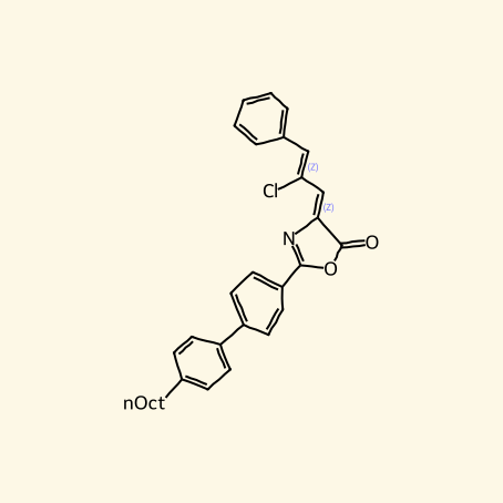 CCCCCCCCc1ccc(-c2ccc(C3=N/C(=C\C(Cl)=C\c4ccccc4)C(=O)O3)cc2)cc1